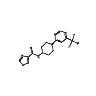 O=C(NC1CCN(c2cc(C(F)(F)F)ncn2)CC1)c1cscn1